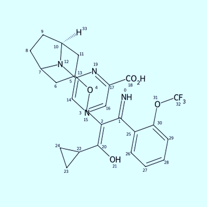 N=C(/C(COC1CC2CC[C@@H](C1)N2c1cncc(C(=O)O)n1)=C(\O)C1CC1)c1ccccc1OC(F)(F)F